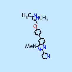 CNc1nc(-c2cccnc2)nc2ccc(-c3ccc(OCc4cc(C)nn4C)cc3)cc12